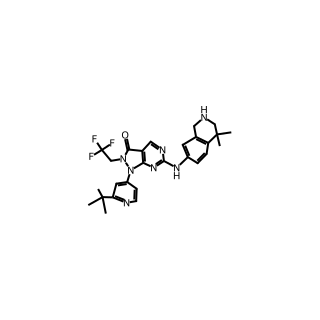 CC(C)(C)c1cc(-n2c3nc(Nc4ccc5c(c4)CNCC5(C)C)ncc3c(=O)n2CC(F)(F)F)ccn1